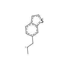 C[CH]Cc1ccc2ccsc2c1